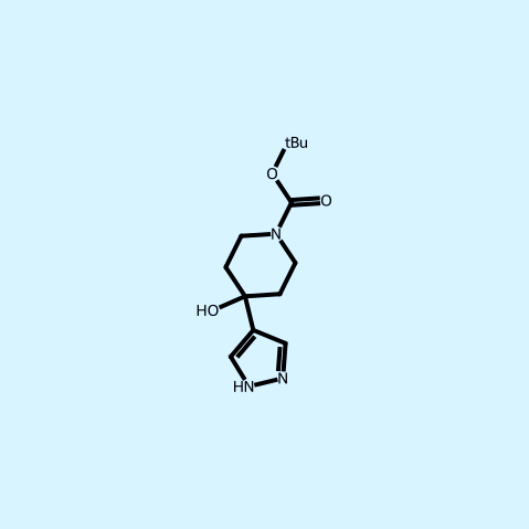 CC(C)(C)OC(=O)N1CCC(O)(c2cn[nH]c2)CC1